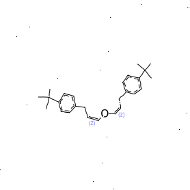 CC(C)(C)c1ccc(C/C=C\O/C=C\Cc2ccc(C(C)(C)C)cc2)cc1